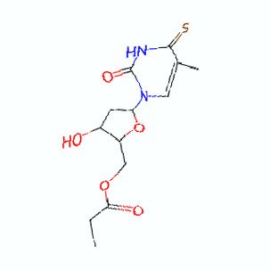 CCC(=O)OCC1OC(n2cc(C)c(=S)[nH]c2=O)CC1O